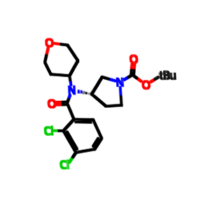 CC(C)(C)OC(=O)N1CC[C@H](N(C(=O)c2cccc(Cl)c2Cl)C2CCOCC2)C1